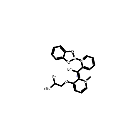 CCCCC(CC)COC1=CC=CN(C)/C1=C(/C#N)c1cccc[n+]1B1Oc2ccccc2O1